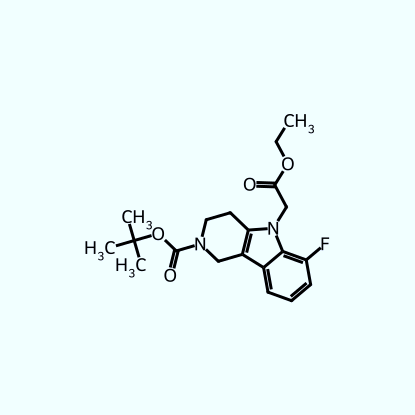 CCOC(=O)Cn1c2c(c3cccc(F)c31)CN(C(=O)OC(C)(C)C)CC2